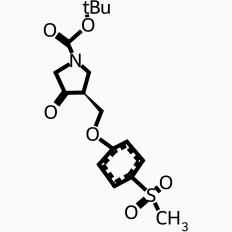 CC(C)(C)OC(=O)N1CC(=O)[C@H](COc2ccc(S(C)(=O)=O)cc2)C1